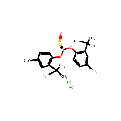 Cc1ccc([O][Ti]([O]c2ccc(C)cc2C(C)(C)C)=[S]=O)c(C(C)(C)C)c1.Cl.Cl